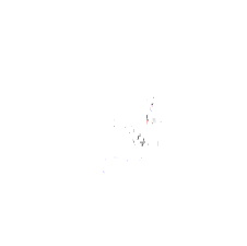 CC/C=C\C/C=C\C/C=C\C/C=C\C/C=C\C/C=C\CCC(=O)NC(CCCCNC(=O)/C=C/C(=O)OCC)C(=O)OC(CO)CO